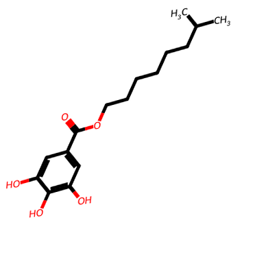 CC(C)CCCCCCOC(=O)c1cc(O)c(O)c(O)c1